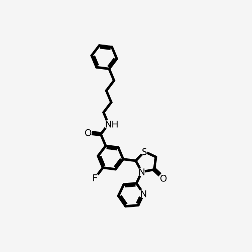 O=C(NCCCCc1ccccc1)c1cc(F)cc(C2SCC(=O)N2c2ccccn2)c1